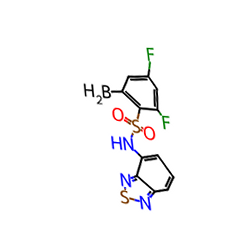 Bc1cc(F)cc(F)c1S(=O)(=O)Nc1cccc2nsnc12